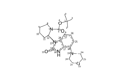 CC(C)(C)OC(=O)N1CCCCC1n1c(=O)[nH]c2c(N3CCOCC3)cccc21